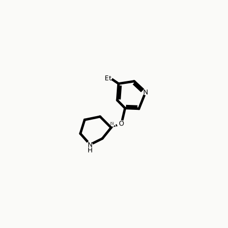 CCc1cncc(O[C@H]2CCCNC2)c1